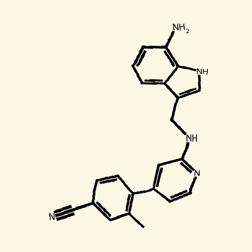 Cc1cc(C#N)ccc1-c1ccnc(NCc2c[nH]c3c(N)cccc23)c1